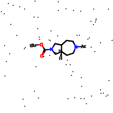 CC(=O)N1CCC2CN(C(=O)OC(C)(C)C)C[C@H]2CC1